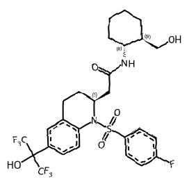 O=C(C[C@@H]1CCc2cc(C(O)(C(F)(F)F)C(F)(F)F)ccc2N1S(=O)(=O)c1ccc(F)cc1)N[C@@H]1CCCC[C@H]1CO